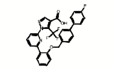 O=C(O)c1cnn(-c2cccc(-c3ccccc3OCc3ccc(-c4ccc(F)cc4)cc3)n2)c1C(F)(F)F